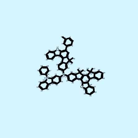 Cc1cccc(-c2cc3c(c4c2oc2ccccc24)-c2ccc(N(c4ccc5c(c4)C(C)(C)c4c6c(c7c(oc8ccccc87)c4-5)-c4ccccc4C6(C)C)c4ccc5c6ccccc6n(-c6ccccc6)c5c4)cc2C3(C)C)c1